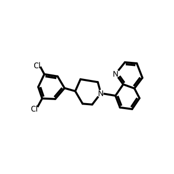 Clc1cc(Cl)cc(C2CCN(c3cccc4cccnc34)CC2)c1